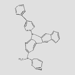 CN(c1ccccc1)c1ccc2c(c1)c1cc3ccccc3cc1n2-c1ccc(-c2ccccc2)cc1